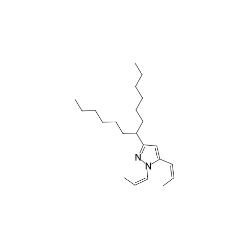 C/C=C\c1cc(C(CCCCCC)CCCCCC)nn1/C=C\C